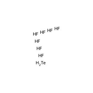 F.F.F.F.F.F.F.[TeH2]